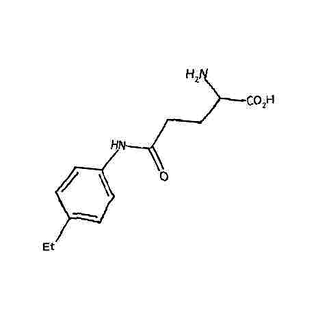 CCc1ccc(NC(=O)CCC(N)C(=O)O)cc1